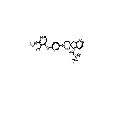 CC(C)(C)[S@@+]([O-])N[C@@H]1c2cccnc2CC12CCN(c1ccc(Sc3ccnc(N)c3Cl)nc1)CC2